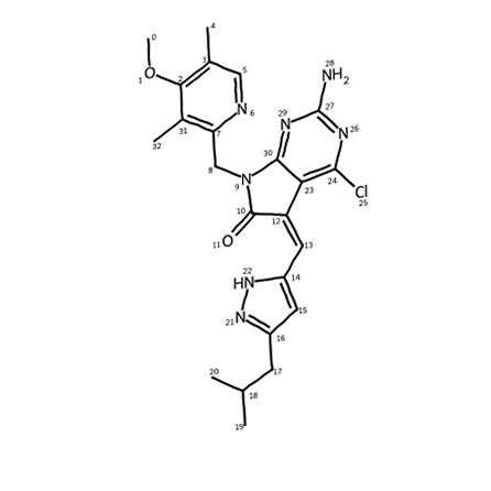 COc1c(C)cnc(CN2C(=O)C(=Cc3cc(CC(C)C)n[nH]3)c3c(Cl)nc(N)nc32)c1C